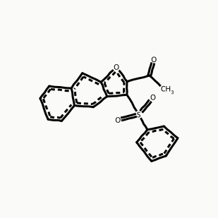 CC(=O)c1oc2cc3ccccc3cc2c1S(=O)(=O)c1ccccc1